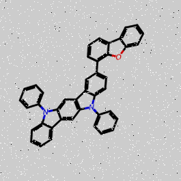 c1ccc(-n2c3ccccc3c3cc4c(cc32)c2cc(-c3cccc5c3oc3ccccc35)ccc2n4-c2ccccc2)cc1